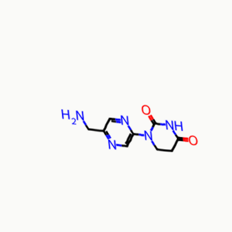 NCc1cnc(N2CCC(=O)NC2=O)cn1